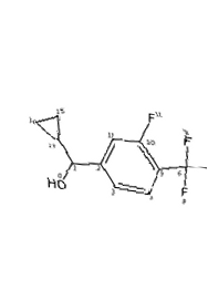 OC(c1ccc(C(F)(F)F)c(F)c1)C1CC1